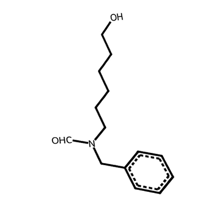 O=CN(CCCCCCO)Cc1ccccc1